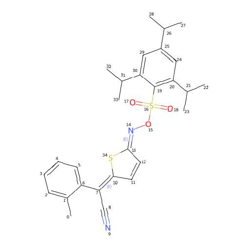 Cc1ccccc1/C(C#N)=C1C=C/C(=N\OS(=O)(=O)c2c(C(C)C)cc(C(C)C)cc2C(C)C)S/1